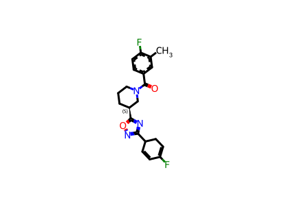 Cc1cc(C(=O)N2CCC[C@H](c3nc(C4C=CC(F)=CC4)no3)C2)ccc1F